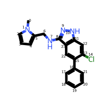 Cn1cccc1CNc1n[nH]c2cc(Cl)c(-c3ccccc3)cc12